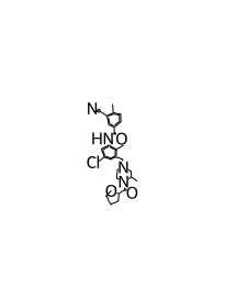 Cc1ccc(C(=O)Nc2cc(Cl)cc(CN3CCN(C(=O)C4CCCO4)C(C)C3)c2C)cc1C#N